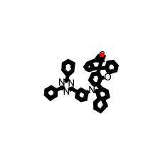 c1ccc(-c2nc(-c3ccccc3)nc(-c3cccc(-n4c5ccc6c(c5c5ccc7ccccc7c54)Oc4ccccc4C64c5ccccc5-c5ccccc54)c3)n2)cc1